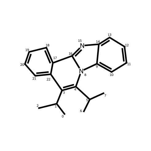 CC(C)c1c(C(C)C)n2c3ccccc3nc2c2ccccc12